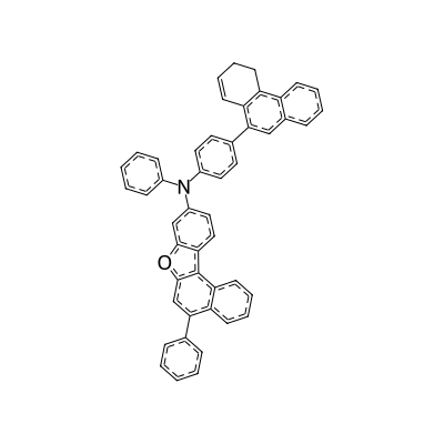 C1=Cc2c(-c3ccc(N(c4ccccc4)c4ccc5c(c4)oc4cc(-c6ccccc6)c6ccccc6c45)cc3)cc3ccccc3c2CC1